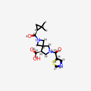 CC1(C)C[C@@H]1C(=O)N1CC2(CN(C(=O)c3cncs3)C[C@H]2C(=O)O)C1